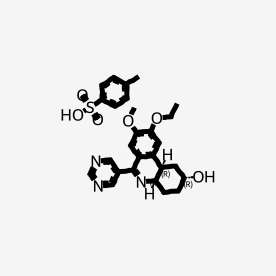 CCOc1cc2c(cc1OC)C(c1cncnc1)=N[C@@H]1CC[C@@H](O)C[C@H]21.Cc1ccc(S(=O)(=O)O)cc1